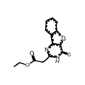 CCOC(=O)Cc1nc2c(oc3ccccc32)c(=O)[nH]1